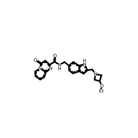 CCOC1CN(Cc2cc3ccc(CNC(=O)c4cc(=O)n5ccccc5n4)cc3[nH]2)C1